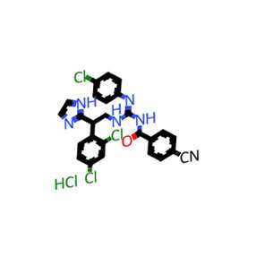 Cl.N#Cc1ccc(C(=O)NC(=Nc2ccc(Cl)cc2)NCC(c2ncc[nH]2)c2ccc(Cl)cc2Cl)cc1